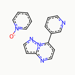 [O-][n+]1ccccc1.c1cncc(-c2ccnc3ccnn23)c1